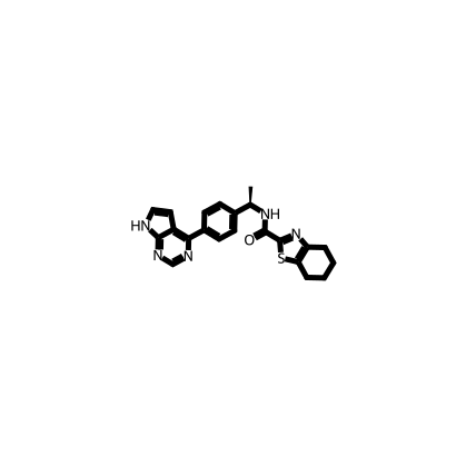 C[C@@H](NC(=O)c1nc2c(s1)CCCC2)c1ccc(-c2ncnc3[nH]ccc23)cc1